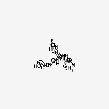 COCCNC(=O)[C@H](Cc1ccc(C#N)cc1)Nc1nc(NCc2nc3cc(F)ccc3[nH]2)nc(Nc2cccc(CN3CCN(C(=O)c4nccnc4O)CC3)c2)n1